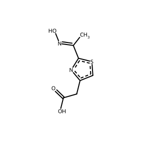 CC(=NO)c1nc(CC(=O)O)cs1